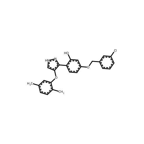 Cc1ccc(C)c(Oc2c[nH]nc2-c2ccc(OCc3cccc(Cl)c3)cc2O)c1